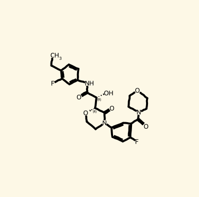 CCc1ccc(NC(=O)[C@H](O)[C@H]2OCCN(c3ccc(F)c(C(=O)N4CCOCC4)c3)C2=O)cc1F